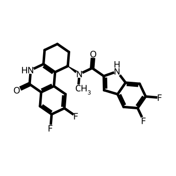 CN(C(=O)c1cc2cc(F)c(F)cc2[nH]1)[C@@H]1CCCc2[nH]c(=O)c3cc(F)c(F)cc3c21